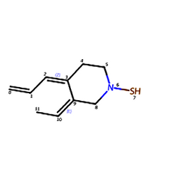 C=C/C=C1/CCN(S)C/C1=C/C